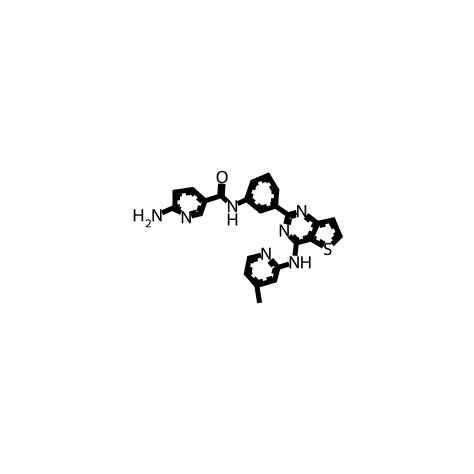 Cc1ccnc(Nc2nc(-c3cccc(NC(=O)c4ccc(N)nc4)c3)nc3ccsc23)c1